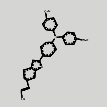 COc1ccc(N(c2ccc(OC)cc2)c2ccc(-c3cc4ccc(/C=C/C#N)cc4o3)cc2)cc1